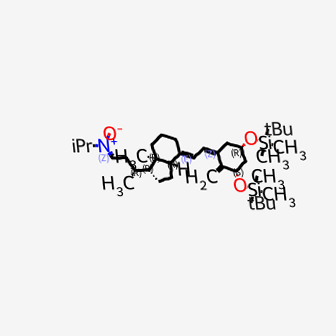 C=C1/C(=C\C=C2/CCC[C@]3(C)[C@@H]([C@H](C)C/C=[N+](\[O-])C(C)C)CC[C@@H]23)C[C@@H](O[Si](C)(C)C(C)(C)C)C[C@@H]1O[Si](C)(C)C(C)(C)C